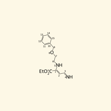 CCOC(=O)/C(=C/C=N)NCCOCc1ccccc1